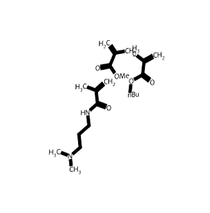 C=C(C)C(=O)NCCCN(C)C.C=C(C)C(=O)OC.C=C(C)C(=O)OCCCC